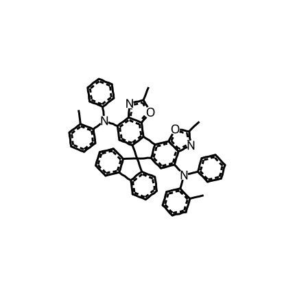 Cc1nc2c(N(c3ccccc3)c3ccccc3C)cc3c(c2o1)-c1c(cc(N(c2ccccc2)c2ccccc2C)c2nc(C)oc12)C31c2ccccc2-c2ccccc21